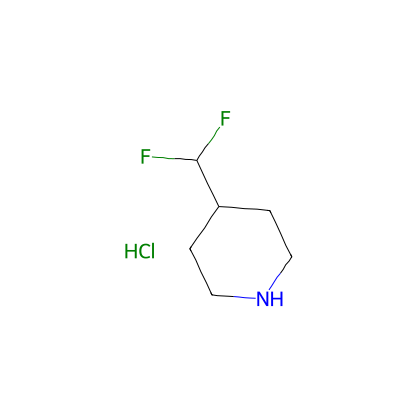 Cl.FC(F)C1CCNCC1